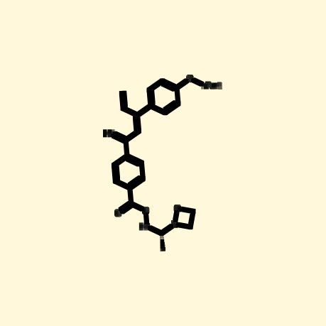 C=C/C(=C\C(=N)c1ccc(C(=O)OP[C@@H](C)N2CCO2)cc1)c1ccc(OCCCCC)cc1